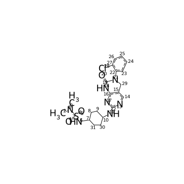 CN(C)S(=O)(=O)NC1CCC(Nc2ncc3c(n2)NC(=O)N(c2ccccc2Cl)C3)CC1